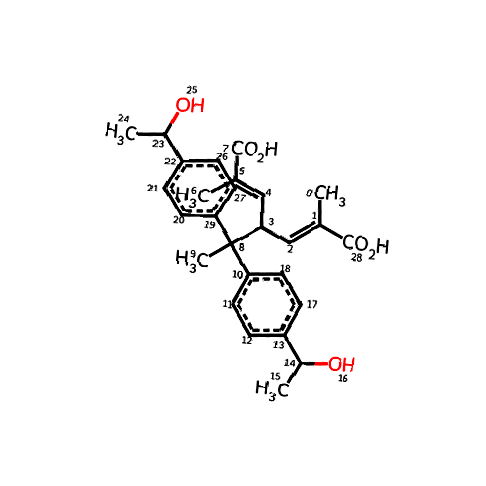 CC(=CC(C=C(C)C(=O)O)C(C)(c1ccc(C(C)O)cc1)c1ccc(C(C)O)cc1)C(=O)O